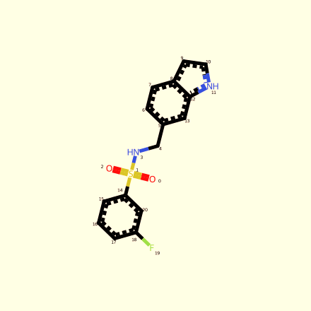 O=S(=O)(NCc1ccc2cc[nH]c2c1)c1cccc(F)c1